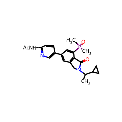 CC(=O)Nc1ccc(-c2cc3c(c(P(C)(C)=O)c2)C(=O)N(C(C)C2CC2)C3)cn1